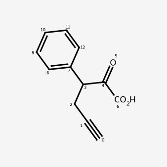 C#CCC(C(=O)C(=O)O)c1ccccc1